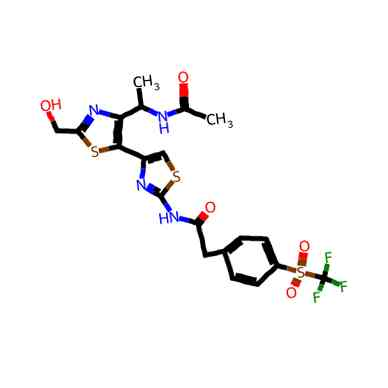 CC(=O)NC(C)c1nc(CO)sc1-c1csc(NC(=O)Cc2ccc(S(=O)(=O)C(F)(F)F)cc2)n1